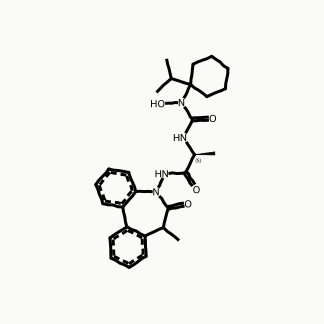 CC1C(=O)N(NC(=O)[C@H](C)NC(=O)N(O)C2(C(C)C)CCCCC2)c2ccccc2-c2ccccc21